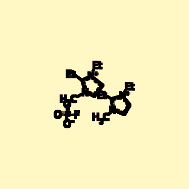 CCc1n(C)cc[n+]1CC.CCc1n(C)cc[n+]1CC.O=P([O-])([O-])F